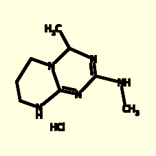 CNC1=NC(C)N2CCCNC2=N1.Cl